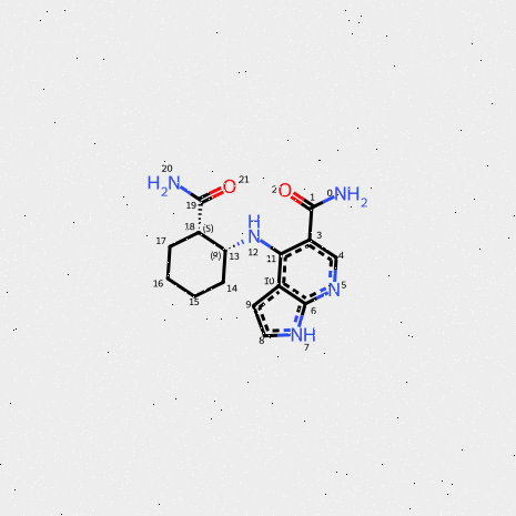 NC(=O)c1cnc2[nH]ccc2c1N[C@@H]1CCCC[C@@H]1C(N)=O